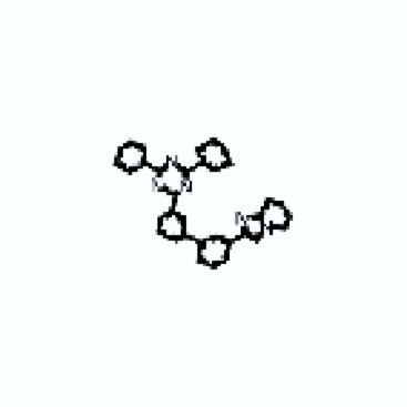 c1ccc(-c2nc(-c3ccccc3)nc(-c3cccc(-c4cccc(-c5cn6ccccc6n5)c4)c3)n2)cc1